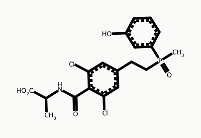 CC(NC(=O)c1c(Cl)cc(CCP(C)(=O)c2cccc(O)c2)cc1Cl)C(=O)O